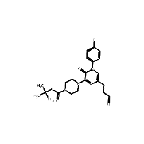 CC(C)(C)OC(=O)N1CCN(c2nc(CCC=O)cn(-c3ccc(F)cc3)c2=O)CC1